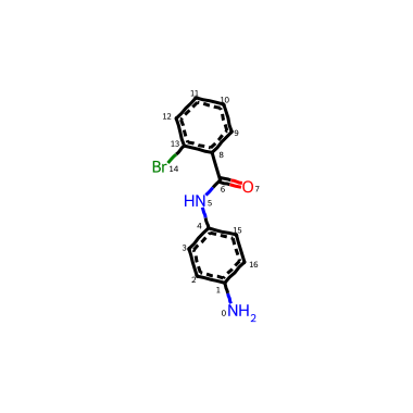 Nc1ccc(NC(=O)c2ccccc2Br)cc1